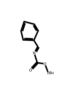 CCCCOC(=O)N=Cc1ccccc1